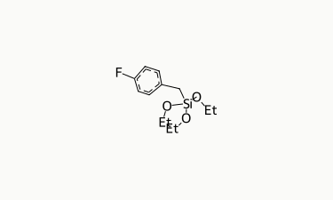 CCO[Si](Cc1ccc(F)cc1)(OCC)OCC